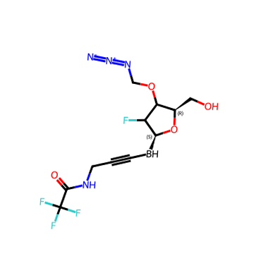 [N-]=[N+]=NCOC1C(F)[C@H](BC#CCNC(=O)C(F)(F)F)O[C@@H]1CO